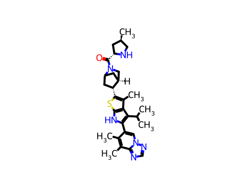 Cc1c(-c2[nH]c3sc([C@@H]4CC5C[C@H]4CN5C(=O)[C@@H]4C[C@@H](C)CN4)c(C)c3c2C(C)C)cn2ncnc2c1C